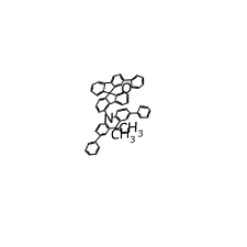 CC1(C)c2cc(-c3ccccc3)ccc2N(c2cccc3c2-c2ccccc2C32c3ccccc3-c3ccc4c(oc5ccccc54)c32)c2ccc(-c3ccccc3)cc21